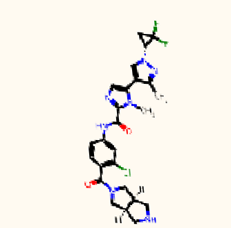 Cn1c(-c2cn([C@@H]3CC3(F)F)nc2C(F)(F)F)cnc1C(=O)Nc1ccc(C(=O)N2C[C@H]3CNC[C@H]3C2)c(Cl)c1